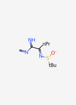 C=NC(=N)/C(CCC)=N/[S@+]([O-])C(C)(C)C